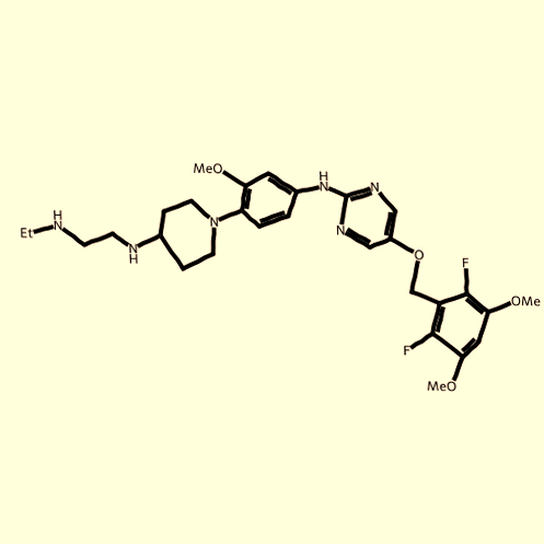 CCNCCNC1CCN(c2ccc(Nc3ncc(OCc4c(F)c(OC)cc(OC)c4F)cn3)cc2OC)CC1